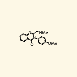 CNCc1nc2ccccc2c(=O)n1-c1ccc(OC)cc1